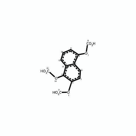 O=C(O)Oc1ccc2c(OC(=O)O)cccc2c1OC(=O)O